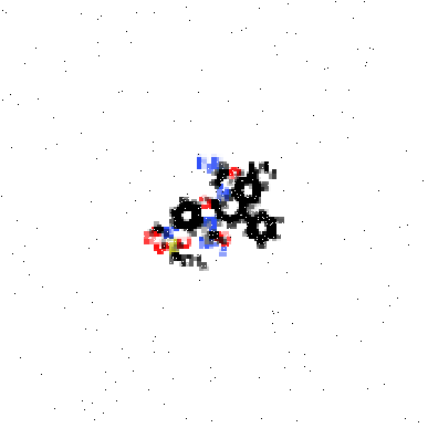 CCS(=O)(=O)N(C=O)c1cccc(N(C(N)=O)C2CC(c3ccccc3)c3ccc(C)cc3N(CC(N)=O)C2=O)c1